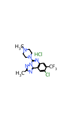 Cc1nc2c3cc(Cl)c(C(F)(F)F)cc3nc(N3CCN(C)CC3)n2n1.Cl